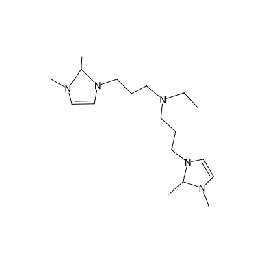 CCN(CCCN1C=CN(C)C1C)CCCN1C=CN(C)C1C